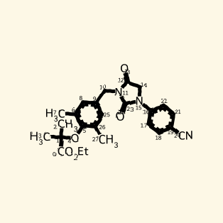 CCOC(=O)C(C)(C)Oc1c(C)cc(CN2C(=O)CN(c3ccc(C#N)cc3)C2=O)cc1C